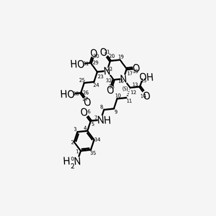 Nc1ccc(C(=O)NCCCC[C@@H](C(=O)O)N2C(=O)CC(=O)N(C(CCC(=O)O)C(=O)O)C2=O)cc1